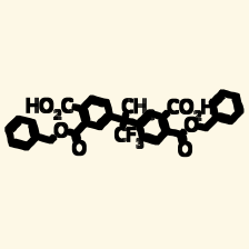 CC(c1ccc(C(=O)OCc2ccccc2)c(C(=O)O)c1)(c1ccc(C(=O)O)c(C(=O)OCc2ccccc2)c1)C(F)(F)F